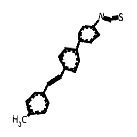 Cc1ccc(C#Cc2ccc(-c3ccc(N=C=S)cc3)cc2)cc1